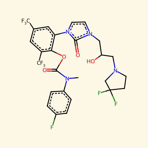 CN(C(=O)Oc1c(-n2ccn(CC(O)CN3CCC(F)(F)C3)c2=O)cc(C(F)(F)F)cc1C(F)(F)F)c1ccc(F)cc1